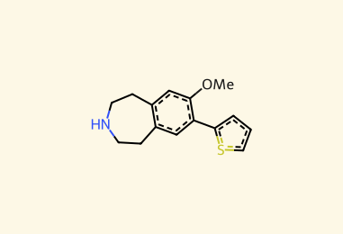 COc1cc2c(cc1-c1cccs1)CCNCC2